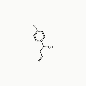 C=CCC(O)c1ccc(Br)cc1